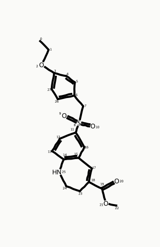 CCOc1ccc(CS(=O)(=O)c2ccc3c(c2)C=C(C(=O)OC)CCN3)cc1